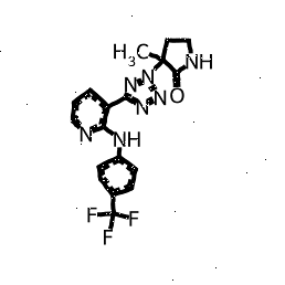 CC1(n2nnc(-c3cccnc3Nc3ccc(C(F)(F)F)cc3)n2)CCNC1=O